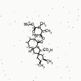 C=CCC1(CC=C)C[C@@H]2SCC[C@H](NC(=O)[C@H](C)N(C)C(=O)OC(C)(C)C)C(=O)N2[C@@H]1C(=O)O